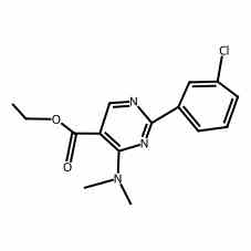 CCOC(=O)c1cnc(-c2cccc(Cl)c2)nc1N(C)C